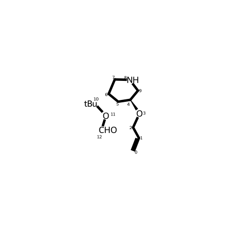 C=CCO[C@H]1CCCNC1.CC(C)(C)OC=O